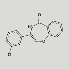 O=C1NC(c2cccc(Cl)c2)=COc2ccccc21